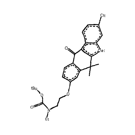 CCN(CCOc1ccc2c(c1)C(C)(C)c1[nH]c3cc(C#N)ccc3c1C2=O)C(=O)OC(C)(C)C